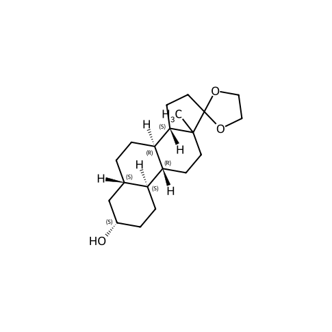 CC12CC[C@H]3[C@@H](CC[C@H]4C[C@@H](O)CC[C@@H]43)[C@@H]1CCC21OCCO1